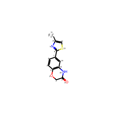 O=C1COc2ccc(-c3nc(C(F)(F)F)cs3)cc2N1